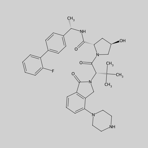 C[C@H](NC(=O)[C@@H]1C[C@@H](O)CN1C(=O)[C@@H](N1Cc2c(cccc2N2CCNCC2)C1=O)C(C)(C)C)c1ccc(-c2ccccc2F)cc1